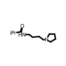 CC(C)C(=O)NCCCCN1CCCC1